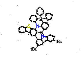 CC(C)(C)c1ccc2c(c1)c1cc(C(C)(C)C)cc3c1n2B1c2cccc4c2N(c2ccccc2[Si]4(c2ccccc2)c2ccccc2)c2c1c-3cc1c2sc2ccccc21